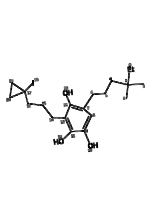 CCC(C)(C)CCCc1cc(O)c(O)c(CCCC2(I)CC2)c1O